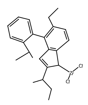 CCc1ccc2c(c1-c1ccccc1C(C)C)C=C(C(C)CC)[CH]2[Zr]([Cl])[Cl]